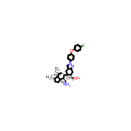 C[C@@H]1C[C@H]([C@@]2(C)Cc3cn(-c4ccc(Oc5ccc(F)cc5)cc4)nc3C[C@@H]2CO)[C@@H](CN)[C@H]2CC[C@H](C)[C@@H]21